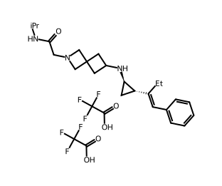 CC/C(=C\c1ccccc1)[C@@H]1C[C@H]1NC1CC2(C1)CN(CC(=O)NC(C)C)C2.O=C(O)C(F)(F)F.O=C(O)C(F)(F)F